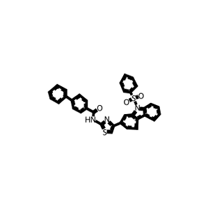 O=C(Nc1nc(-c2ccc3c4ccccc4n(S(=O)(=O)c4ccccc4)c3c2)cs1)c1ccc(-c2ccccc2)cc1